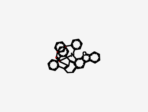 C1=CCC2=C3C(=C1)c1cccc(c1-c1ccccc12)-c1ccc(N(c2ccccc2-c2ccccc2)c2cccc4c2oc2ccccc24)cc13